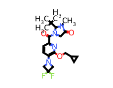 CN1C(=O)CN(C(=O)c2ccc(N3CC(F)(F)C3)c(OCC3CC3)n2)C1C(C)(C)C